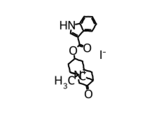 C[N+]12CC(=O)C3CC1CC(OC(=O)c1c[nH]c4ccccc14)CC2C3.[I-]